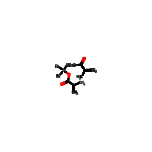 C=C(C)C(=O)OC.C=C(C)C(=O)[O][Ti]([CH2]C)([CH2]C)[CH2]C